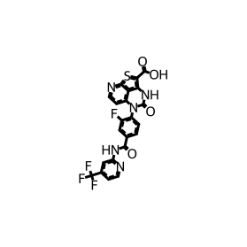 O=C(Nc1cc(C(F)(F)F)ccn1)c1ccc(N2C(=O)Nc3c(C(=O)O)sc4nccc2c34)c(F)c1